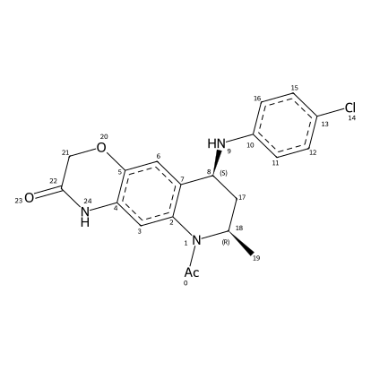 CC(=O)N1c2cc3c(cc2[C@@H](Nc2ccc(Cl)cc2)C[C@H]1C)OCC(=O)N3